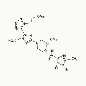 COCCn1ncnc1-c1nc(N2CC[C@@H](NC(=O)c3[nH]c(C)c(Br)c3Cl)[C@@H](OC)C2)sc1C(=O)O